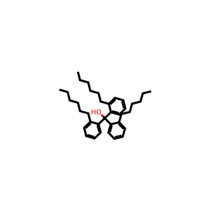 CCCCCCc1ccccc1C(O)(c1ccccc1CCCCCC)c1ccccc1CCCCCC